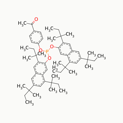 CCC(C)(C)c1cc(C(C)(C)CC)c2cc(OP(Oc3ccc(C(C)=O)cc3)Oc3cc4c(C(C)(C)CC)cc(C(C)(C)CC)cc4cc3C(C)(C)CC)c(C(C)(C)CC)cc2c1